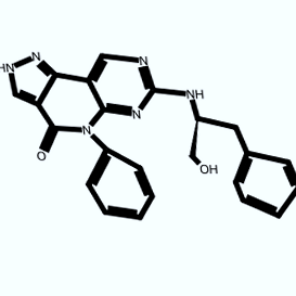 O=c1c2c[nH]nc2c2cnc(N[C@H](CO)Cc3ccccc3)nc2n1-c1ccccc1